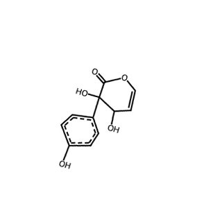 O=C1OC=CC(O)C1(O)c1ccc(O)cc1